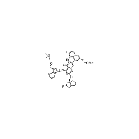 CCc1c(F)ccc2cc(OCOC)cc(-c3cc4nc(OC[C@@]56CCCN5C[C@H](F)C6)nc(NCc5cn(COCC[Si](C)(C)C)c6ncccc56)c4c(=O)o3)c12